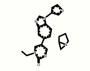 C1CC2CN2C1.CCn1cc(-c2ccc3c(c2)ncn3-c2ccsc2)cnc1=O